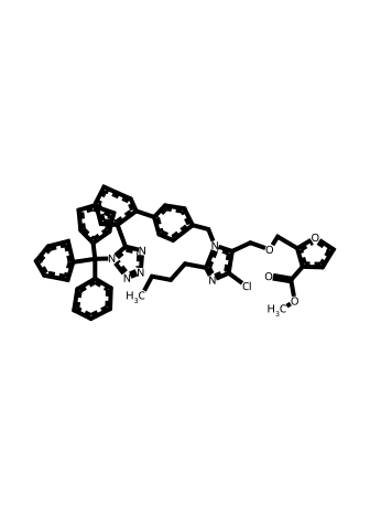 CCCCc1nc(Cl)c(COCc2occc2C(=O)OC)n1Cc1ccc(-c2ccccc2-c2nnnn2C(c2ccccc2)(c2ccccc2)c2ccccc2)cc1